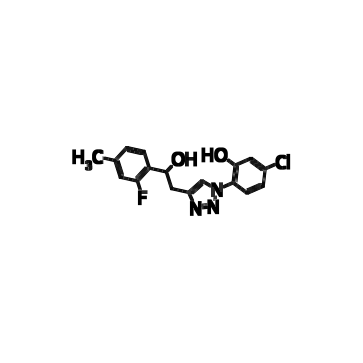 Cc1ccc(C(O)Cc2cn(-c3ccc(Cl)cc3O)nn2)c(F)c1